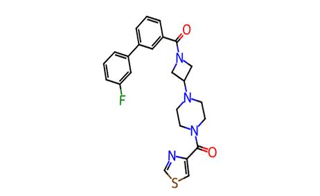 O=C(c1cccc(-c2cccc(F)c2)c1)N1CC(N2CCN(C(=O)c3cscn3)CC2)C1